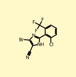 N#Cc1[nH]c(-c2c(Cl)cccc2C(F)(F)F)nc1Br